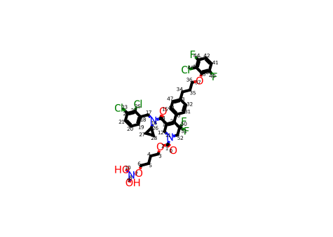 O=C(OCCCCON(O)O)N1CC(C(=O)N(Cc2cccc(Cl)c2Cl)C2CC2)=C(c2ccc(CCCOc3c(F)ccc(F)c3Cl)cc2)C(F)(F)C1